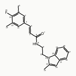 Cc1cc(C=CC(=O)NCCn2c(C)cc3ccccc32)cc(C)c1F